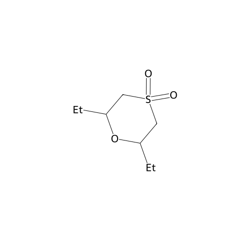 CCC1CS(=O)(=O)CC(CC)O1